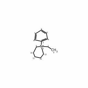 CC[N+]1(c2ccccc2)CCCCC1